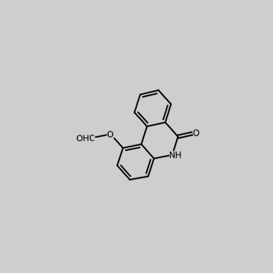 O=COc1cccc2[nH]c(=O)c3ccccc3c12